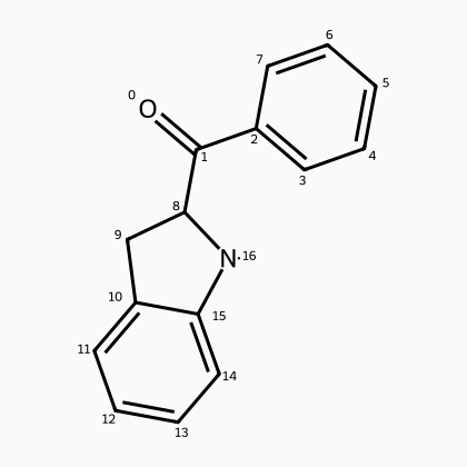 O=C(c1ccccc1)C1Cc2ccccc2[N]1